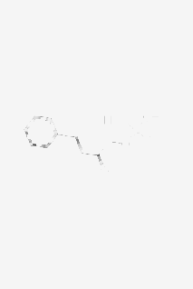 C[Si](C)(C)OOC(=O)C=Cc1ccccc1